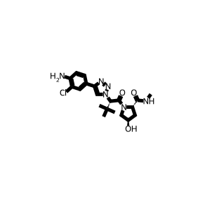 CNC(=O)[C@@H]1C[C@@H](O)CN1C(=O)[C@@H](n1cc(-c2ccc(N)c(Cl)c2)nn1)C(C)(C)C